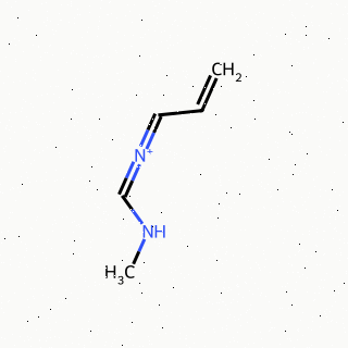 C=CC=[N+]=CNC